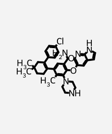 Cc1c(C2=C(c3ccc(Cl)cc3)CC(C)(C)CC2)cc(C(N)=O)c(Oc2cnc3[nH]ccc3c2)c1N1CCNCC1